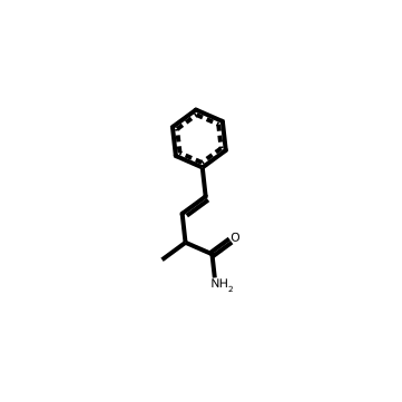 CC(/C=C/c1ccccc1)C(N)=O